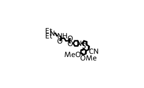 CCN(CC)CCNC(=O)CCC(=O)OC1CCN(c2ccc(C=C(C#N)c3ccc(OC)c(OC)c3)s2)CC1